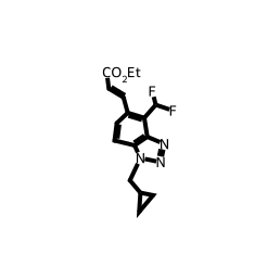 CCOC(=O)/C=C/c1ccc2c(nnn2CC2CC2)c1C(F)F